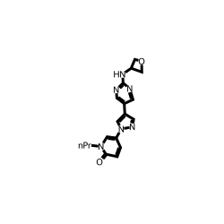 CCCn1cc(-n2cc(-c3cnc(NC4COC4)nc3)cn2)ccc1=O